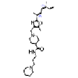 C=C/C(C)=C\C=C(/C)c1nc(CN2CCC(C(=O)NCCCN3CCCCC3)CC2)c(C)o1